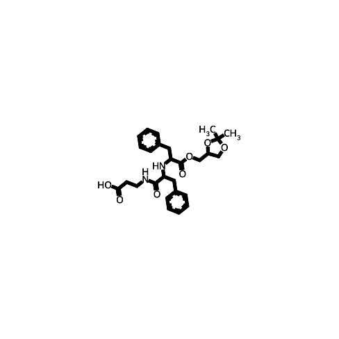 CC1(C)OCC(COC(=O)C(Cc2ccccc2)NC(Cc2ccccc2)C(=O)NCCC(=O)O)O1